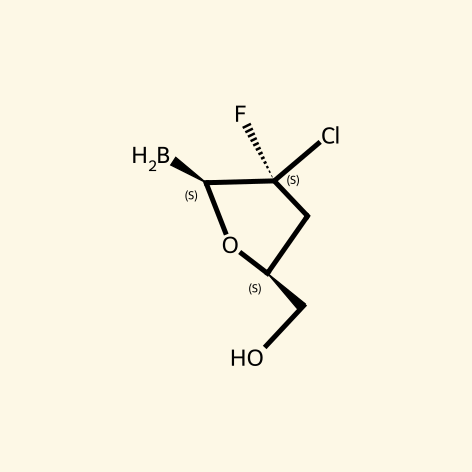 B[C@@H]1O[C@H](CO)C[C@]1(F)Cl